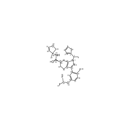 CC(c1nccs1)n1nc(-c2cc(OC(F)F)ccc2F)c2c1C[C@H](C(=O)NC1(C)C=COC1)CC2